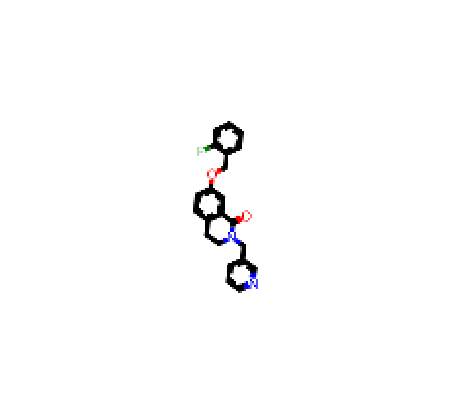 O=C1c2cc(OCc3ccccc3F)ccc2CCN1Cc1cccnc1